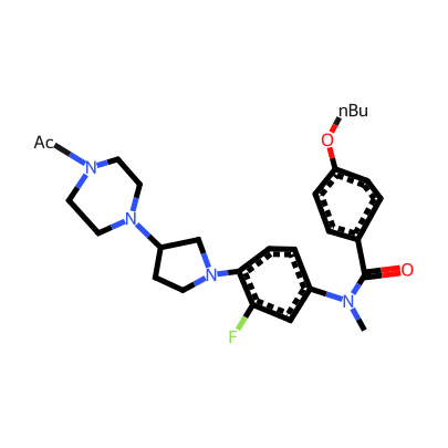 CCCCOc1ccc(C(=O)N(C)c2ccc(N3CCC(N4CCN(C(C)=O)CC4)C3)c(F)c2)cc1